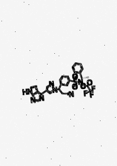 C[C@@H](c1ccccc1)N(OC(=O)C(F)(F)F)S(=O)(=O)c1cccc(C(CC#N)n2cc(-c3ncnc4[nH]ccc34)cn2)c1